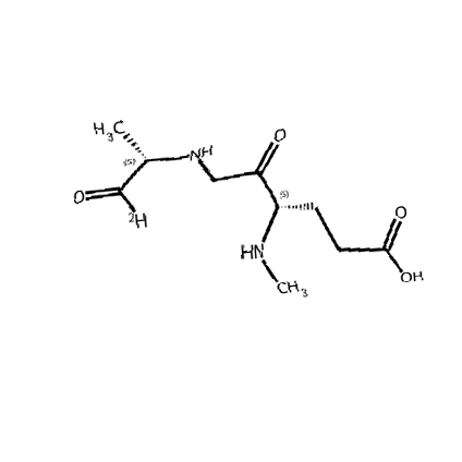 [2H]C(=O)[C@H](C)NCC(=O)[C@H](CCC(=O)O)NC